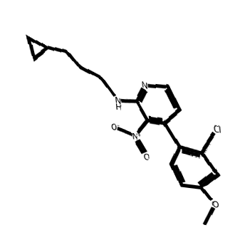 COc1ccc(-c2ccnc(NCCCC3CC3)c2[N+](=O)[O-])c(Cl)c1